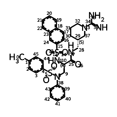 Cc1ccc(S(=O)(=O)N(C[C@@H](NS(=O)(=O)c2ccc3ccccc3c2)C(=O)NC[C@@H]2CCCN(C(=N)N)C2)c2ccccc2)cc1